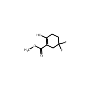 COC(=O)C1=C(O)CCC(F)(F)C1